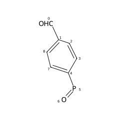 O=Cc1ccc(P=O)cc1